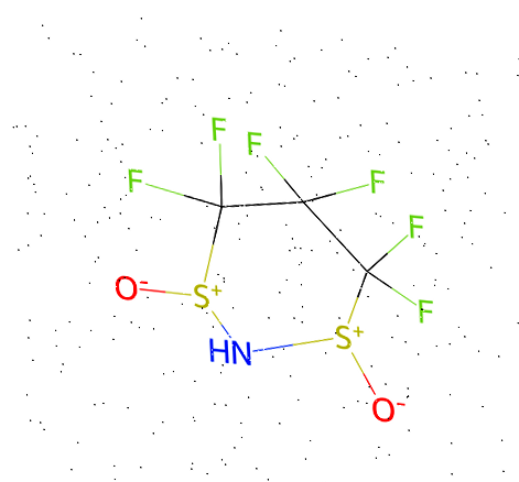 [O-][S+]1N[S+]([O-])C(F)(F)C(F)(F)C1(F)F